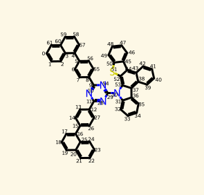 c1ccc2c(-c3ccc(-c4nc(-c5ccc(-c6cccc7ccccc67)cc5)nc(-n5c6ccccc6c6c7ccccc7c7c8ccccc8sc7c65)n4)cc3)cccc2c1